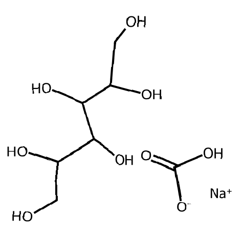 O=C([O-])O.OCC(O)C(O)C(O)C(O)CO.[Na+]